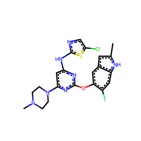 Cc1cc2cc(Oc3nc(Nc4ncc(Cl)s4)cc(N4CCN(C)CC4)n3)c(F)cc2[nH]1